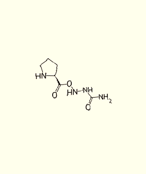 NC(=O)NNOC(=O)[C@@H]1CCCN1